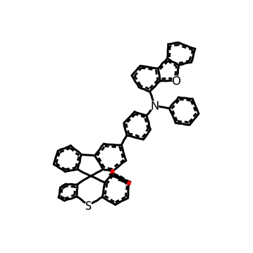 c1ccc(N(c2ccc(-c3ccc4c(c3)-c3ccccc3C43c4ccccc4Sc4ccc5ccccc5c43)cc2)c2cccc3c2oc2ccccc23)cc1